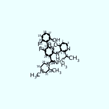 Cc1ccnc(C(C)C)c1Nc1nc(-c2c(O)cccc2F)c(F)cc1C(=N)N1CCN(C)C[C@@H]1C